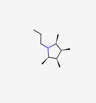 CCCN1[C@H](C)[C@H](C)[C@H](C)[C@@H]1C